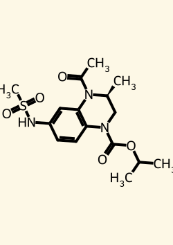 CC(=O)N1c2cc(NS(C)(=O)=O)ccc2N(C(=O)OC(C)C)C[C@@H]1C